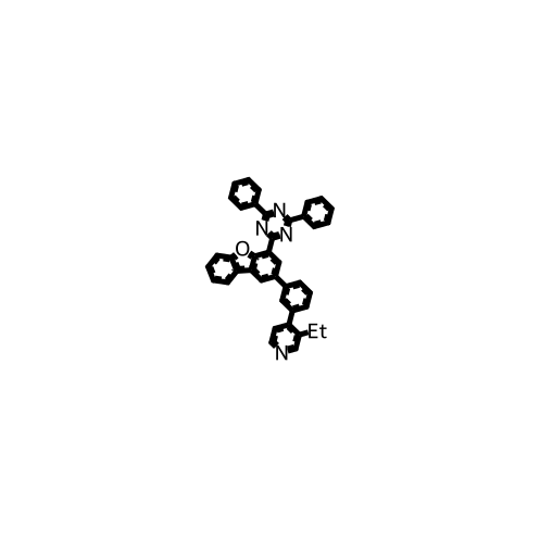 CCc1cnccc1-c1cccc(-c2cc(-c3nc(-c4ccccc4)nc(-c4ccccc4)n3)c3oc4ccccc4c3c2)c1